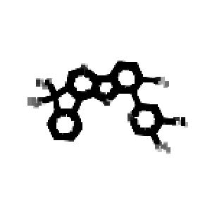 Cc1cnc(-c2c(C)ccc3c2oc2c4c(cnc23)C(C)(C)c2ccccc2-4)cc1C